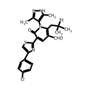 CCC(C)(C)Cc1c(C=O)cc(-c2nc(-c3ccc(Cl)cc3)cs2)c(=O)n1-c1c(C)n[nH]c1C